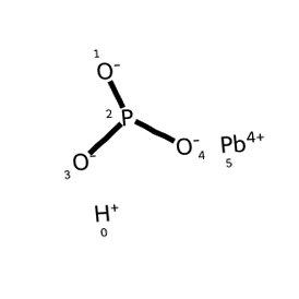 [H+].[O-]P([O-])[O-].[Pb+4]